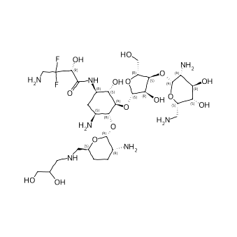 NC[C@@H]1O[C@H](O[C@H]2[C@@H](O)[C@H](O[C@@H]3[C@@H](O)[C@H](NC(=O)[C@@H](O)C(F)(F)CN)C[C@H](N)[C@H]3O[C@H]3O[C@H](CNCC(O)CO)CC[C@H]3N)O[C@@H]2CO)[C@H](N)[C@@H](O)[C@@H]1O